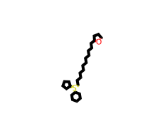 C(CCCCCC[S+](C1CCCCC1)C1CCCC1)CCCCCC1CCCO1